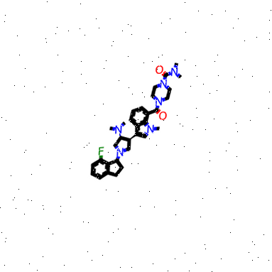 CN(C)C(=O)N1CCN(C(=O)c2cccc3c([C@H]4CN(C5CCc6cccc(F)c65)C[C@@H]4N(C)C)cn(C)c23)CC1